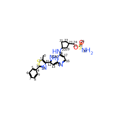 Cc1sc(-c2ccccc2)nc1-c1cc2nccc(NC3CCC(COS(N)=O)C3)n2n1